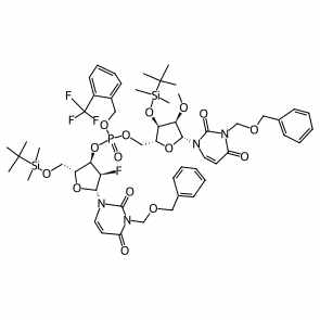 CO[C@@H]1[C@H](O[Si](C)(C)C(C)(C)C)[C@@H](COP(=O)(OCc2ccccc2C(F)(F)F)O[C@H]2[C@@H](F)[C@H](n3ccc(=O)n(COCc4ccccc4)c3=O)O[C@@H]2CO[Si](C)(C)C(C)(C)C)O[C@H]1n1ccc(=O)n(COCc2ccccc2)c1=O